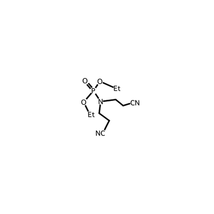 CCOP(=O)(OCC)N(CCC#N)CCC#N